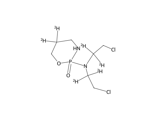 [2H]C1([2H])CNP(=O)(N(C([2H])([2H])CCl)C([2H])([2H])CCl)OC1